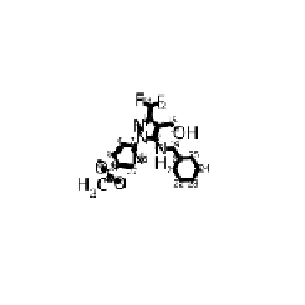 CS(=O)(=O)c1ccc(-n2nc(C(F)F)c(CO)c2NCC2CCCCC2)nc1